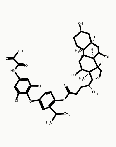 CC(C)c1cc(Oc2c(Cl)cc(NC(=O)C(=O)O)cc2Cl)ccc1OC(=O)CC[C@@H](C)[C@H]1CC[C@H]2[C@@H]3C(O)C[C@@H]4C[C@H](O)CC[C@]4(C)[C@H]3CC(O)[C@]12C